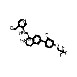 O=Cc1ccncc1NC[C@@H]1NCCc2cc(-c3ccc(OCC(F)(F)F)cc3F)ccc21